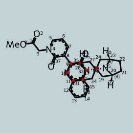 COC(=O)Cn1cccc(-c2nc3ccccc3n([C@H]3C[C@H]4CC[C@@H](C3)N4[C@H]3C[C@@H]4CCC[C@@H](C4)C3)c2=O)c1=O